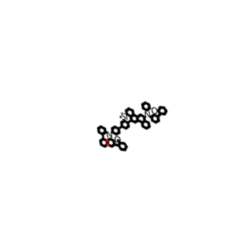 C[Si]1(C)c2cc(-c3ccc(N(c4ccccc4-c4ccccc4)c4cccc5c4oc4ccccc45)cc3)ccc2-c2cc3c4ccccc4c(N(c4ccccc4)c4cccc5c4oc4ccccc45)cc3c3cccc1c23